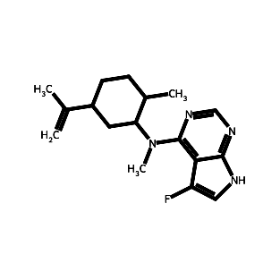 C=C(C)C1CCC(C)C(N(C)c2ncnc3[nH]cc(F)c23)C1